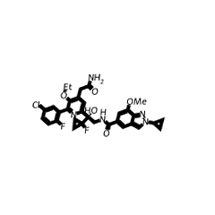 CCOc1c(CC(N)=O)cc([C@@](O)(CNC(=O)c2cc(OC)c3nn(C4CC4)cc3c2)C2(F)CC2)nc1-c1cc(Cl)ccc1F